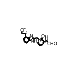 O=CNc1cccn(Cc2nc3c(CCC(F)(F)F)cccc3[nH]2)c1=O